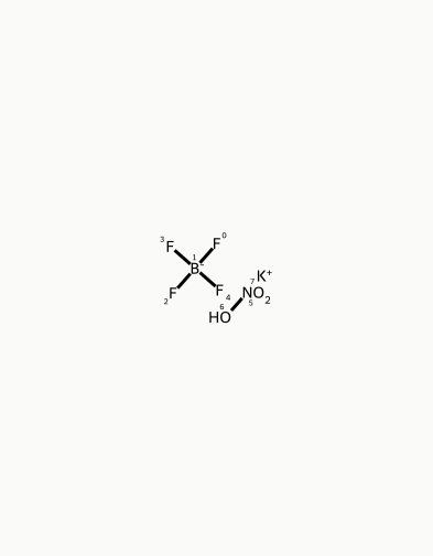 F[B-](F)(F)F.O=[N+]([O-])O.[K+]